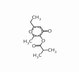 CCc1cc(=O)c(OC(=O)C(C)C)c(C)o1